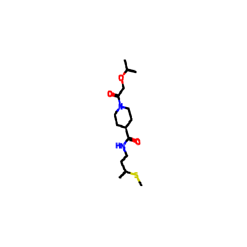 CSC(C)CCNC(=O)C1CCN(C(=O)COC(C)C)CC1